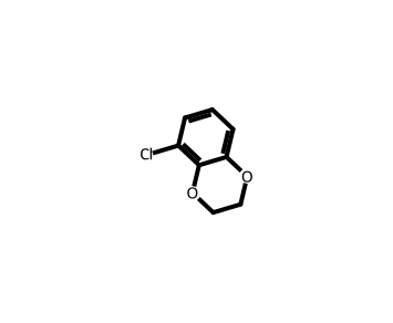 Clc1cccc2c1OCCO2